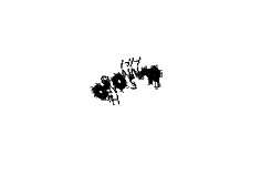 O=C(Nc1ccc(NC(=S)NCCc2ccsc2)cc1)c1ccccc1F